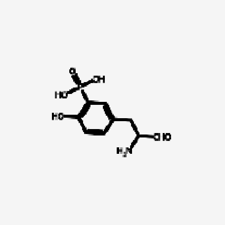 NC([C]=O)Cc1ccc(O)c(P(=O)(O)O)c1